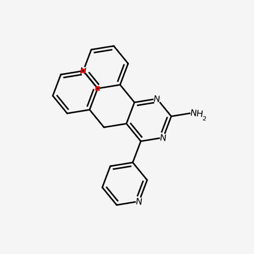 Nc1nc(-c2cccnc2)c(Cc2ccccc2)c(-c2cccnc2)n1